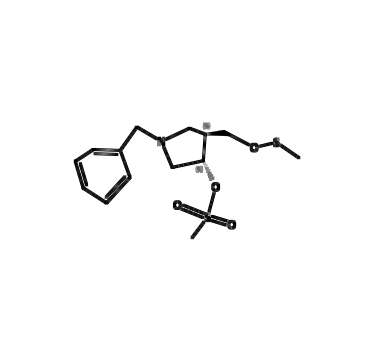 CSOC[C@@H]1CN(Cc2ccccc2)C[C@H]1OS(C)(=O)=O